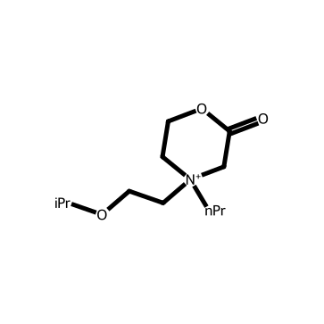 CCC[N+]1(CCOC(C)C)CCOC(=O)C1